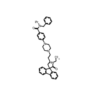 CC(C)N(Cc1ccccc1)C(=O)c1ccc(N2CCN(CCCCC3(C(=O)NCC(F)(F)F)c4ccccc4-c4ccccc43)CC2)cc1